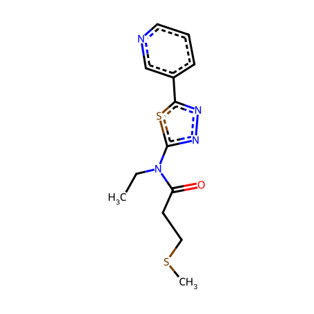 CCN(C(=O)CCSC)c1nnc(-c2cccnc2)s1